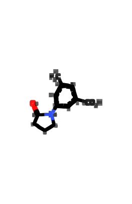 O=C(O)c1cc(N2CCCC2=O)cc(C(F)(F)F)c1